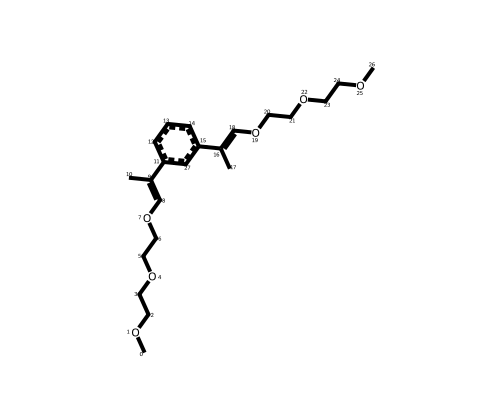 COCCOCCOC=C(C)c1cccc(C(C)=COCCOCCOC)c1